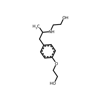 CC(Cc1ccc(OCCO)cc1)NCCO